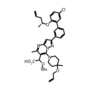 C=CCOC1(C)CCN(c2c(C(OC(C)(C)C)C(=O)O)c(C)nc3cc(-c4cccc(-c5cc(Cl)ccc5O[C@@H](C)CC=C)c4)nn23)CC1